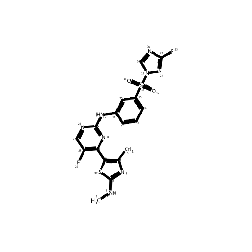 CNc1nc(C)c(-c2nc(Nc3cccc(S(=O)(=O)n4cnc(F)n4)c3)ncc2F)s1